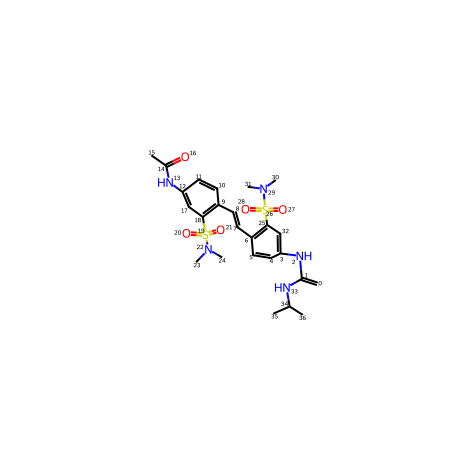 C=C(Nc1ccc(/C=C/c2ccc(NC(C)=O)cc2S(=O)(=O)N(C)C)c(S(=O)(=O)N(C)C)c1)NC(C)C